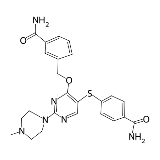 CN1CCN(c2ncc(Sc3ccc(C(N)=O)cc3)c(OCc3cccc(C(N)=O)c3)n2)CC1